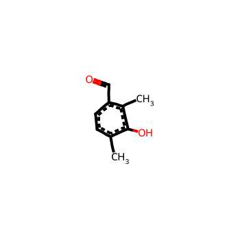 Cc1ccc(C=O)c(C)c1O